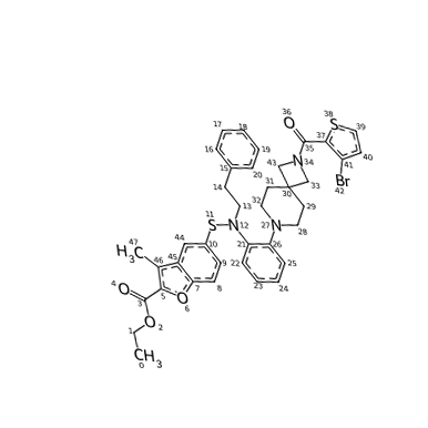 CCOC(=O)c1oc2ccc(SN(CCc3ccccc3)c3ccccc3N3CCC4(CC3)CN(C(=O)c3sccc3Br)C4)cc2c1C